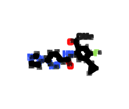 COC(=O)c1cc(F)c(C2CC2)cc1NC(=O)c1ccc(-n2ccnc2)nn1